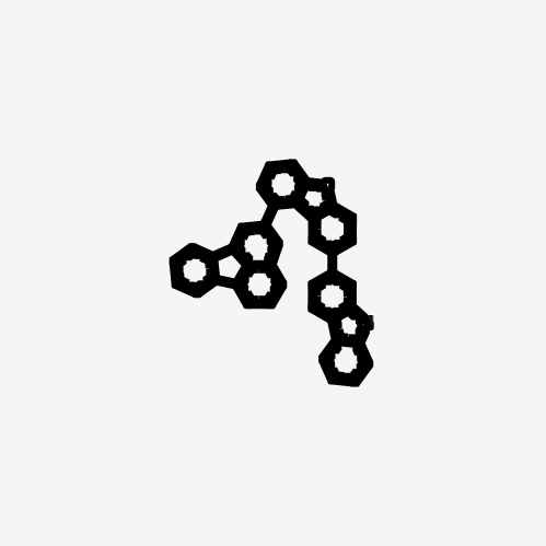 c1ccc2c(c1)-c1cccc3cc(-c4cccc5oc6ccc(-c7ccc8c(c7)sc7ccccc78)cc6c45)cc-2c13